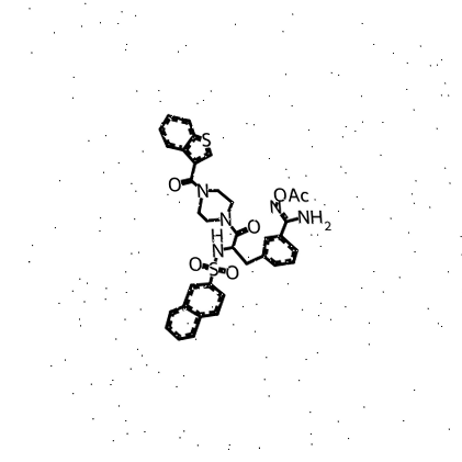 CC(=O)ON=C(N)c1cccc(CC(NS(=O)(=O)c2ccc3ccccc3c2)C(=O)N2CCN(C(=O)c3csc4ccccc34)CC2)c1